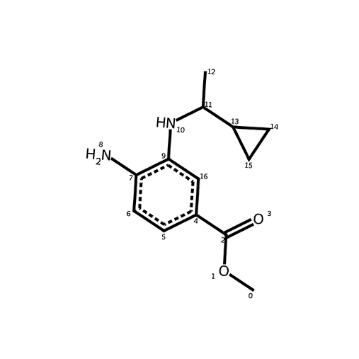 COC(=O)c1ccc(N)c(NC(C)C2CC2)c1